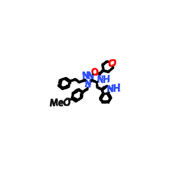 COc1ccc(Cn2c(CCc3ccccc3)nnc2C(Cc2c[nH]c3ccccc23)NC(=O)C2CCOCC2)cc1